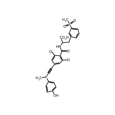 CP(C#Cc1cc(Cl)c(C(=O)NC(Cc2cccc(S(C)(=O)=O)c2)C(=O)O)c(Cl)c1)c1ccc(O)cc1